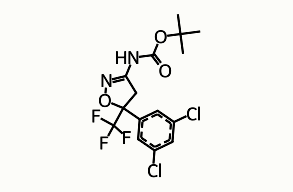 CC(C)(C)OC(=O)NC1=NOC(c2cc(Cl)cc(Cl)c2)(C(F)(F)F)C1